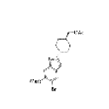 COc1cc2nn([C@H]3CC[C@H](COC(C)=O)CC3)cc2cc1Br